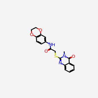 Cn1c(SCC(=O)Nc2ccc3c(c2)OCCO3)nc2ccccc2c1=O